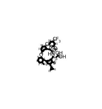 Cc1cccc2c1-c1cc(C3CC3)c(F)c(c1)[C@@H](CC(O)O)NC(=O)[C@@H](n1ccc(C(F)(F)F)cc1=O)c1cc(ccc1Cl)O2